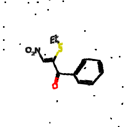 CCSC(=C[N+](=O)[O-])C(=O)c1ccccc1